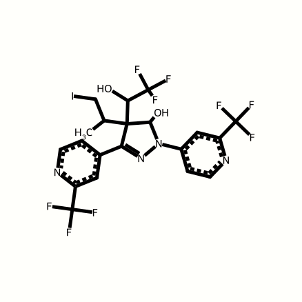 CC(CI)C1(C(O)C(F)(F)F)C(c2ccnc(C(F)(F)F)c2)=NN(c2ccnc(C(F)(F)F)c2)C1O